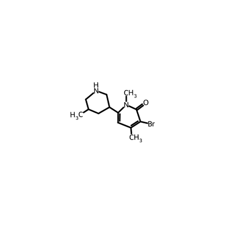 Cc1cc(C2CNCC(C)C2)n(C)c(=O)c1Br